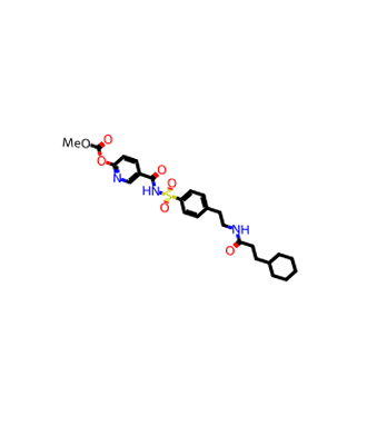 COC(=O)Oc1ccc(C(=O)NS(=O)(=O)c2ccc(CCNC(=O)CCC3CCCCC3)cc2)cn1